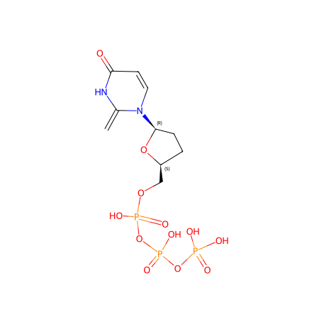 C=C1NC(=O)C=CN1[C@H]1CC[C@@H](COP(=O)(O)OP(=O)(O)OP(=O)(O)O)O1